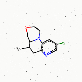 [CH2]C1Cc2ncc(Cl)cc2N2CCOCC12